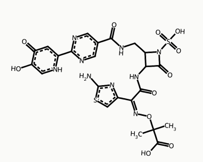 CC(C)(O/N=C(\C(=O)NC1C(=O)N(S(=O)(=O)O)C1CNC(=O)c1cnc(-c2cc(=O)c(O)c[nH]2)nc1)c1csc(N)n1)C(=O)O